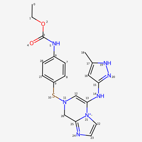 CCOC(=O)Nc1ccc(SN2C=C(Nc3cc(C)[nH]n3)[N+]3C=CN=C3C2)cc1